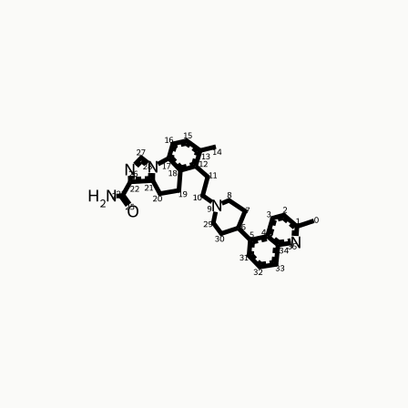 Cc1ccc2c(C3CCN(CCc4c(C)ccc5c4CCc4c(C(N)=O)ncn4-5)CC3)cccc2n1